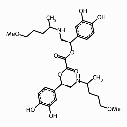 COCCCC(C)NC[C@H](OC(=O)C(=O)O[C@@H](CNC(C)CCCOC)c1ccc(O)c(O)c1)c1ccc(O)c(O)c1